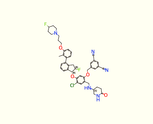 Cc1c(OCCCN2CCC(F)CC2)cccc1-c1cccc2c1C[C@@H](F)[C@@H]2Oc1cc(OCc2cc(C#N)cc(C#N)c2)c(CN[C@H]2CCC(=O)NC2)cc1Cl